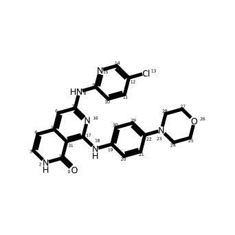 O=c1[nH]ccc2cc(Nc3ccc(Cl)cn3)nc(Nc3ccc(N4CCOCC4)cc3)c12